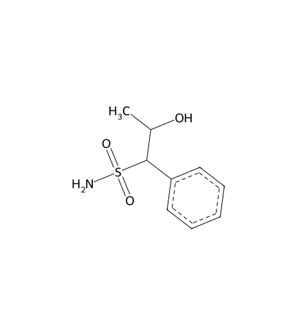 CC(O)C(c1ccccc1)S(N)(=O)=O